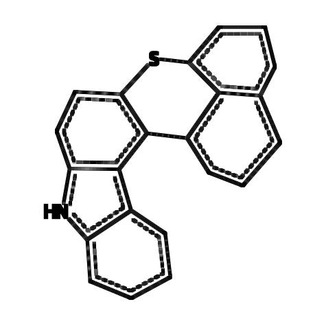 c1cc2c3c(cccc3c1)-c1c(ccc3[nH]c4ccccc4c13)S2